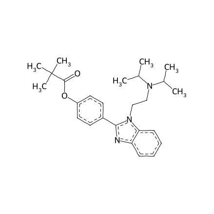 CC(C)N(CCn1c(-c2ccc(OC(=O)C(C)(C)C)cc2)nc2ccccc21)C(C)C